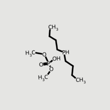 CCCCPCCCC.COP(=O)(O)OC